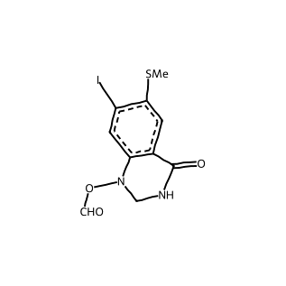 CSc1cc2c(cc1I)N(OC=O)CNC2=O